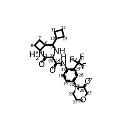 NC(=O)[C@@H](NC(C1CCC1)C1CCC1)C(=O)Nc1ccc(N2CCOCC2=O)cc1C(F)(F)F